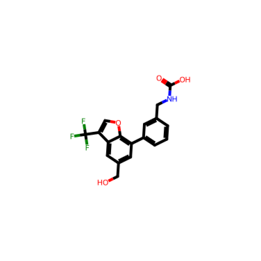 O=C(O)NCc1cccc(-c2cc(CO)cc3c(C(F)(F)F)coc23)c1